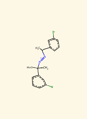 COC(C)(/N=N/C(C)c1cccc(Br)c1)c1cccc(Br)c1